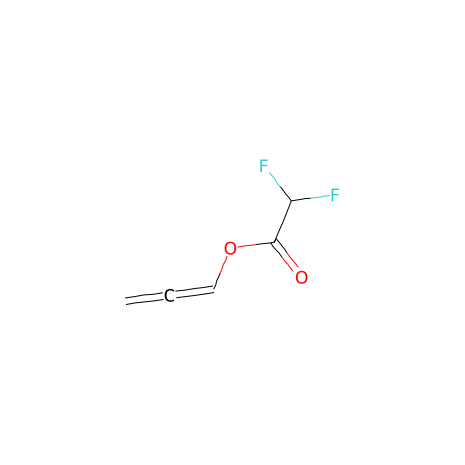 C=C=COC(=O)C(F)F